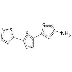 Nc1csc(-c2ccc(-c3cccs3)s2)c1